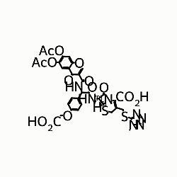 CC(=O)Oc1cc2occ(C(=O)NC(C(=O)N[C@@H]3C(=O)N4C(C(=O)O)=C(CSc5nnnn5C)CS[C@@H]34)c3ccc(OCC(=O)O)cc3)c(=O)c2cc1OC(C)=O